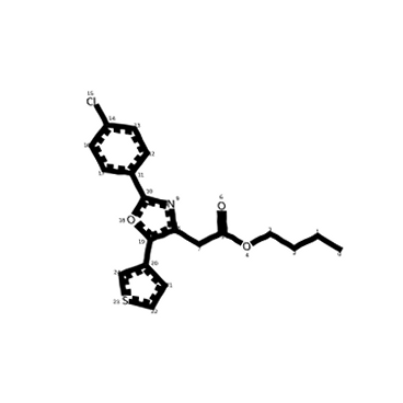 CCCCOC(=O)Cc1nc(-c2ccc(Cl)cc2)oc1-c1ccsc1